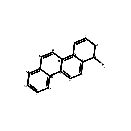 BrC1CC=Cc2c1ccc1c2ccc2ccccc21